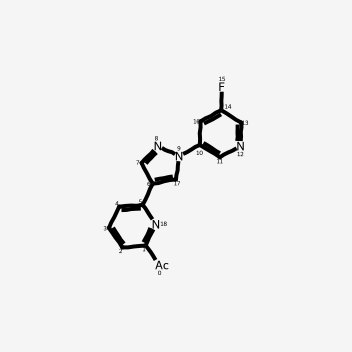 CC(=O)c1cccc(-c2cnn(-c3cncc(F)c3)c2)n1